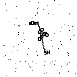 CCCCCCCCCCCCCCC(=O)O[C@@H](COP=O)COC(=O)CCCCCCCCS